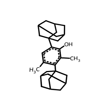 Cc1cc(C23CC4CC(CC(C4)C2)C3)c(O)c(C)c1C12CC3CC(CC(C3)C1)C2